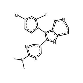 CN(C)c1ncc(-c2nc3ccncc3n2-c2ccc(Cl)cc2F)cn1